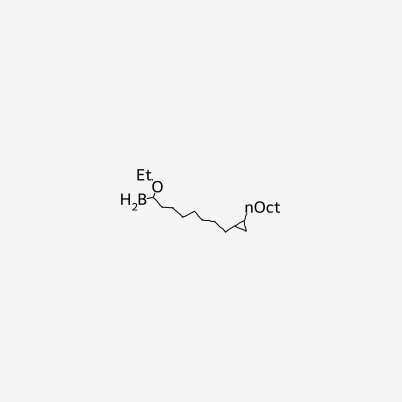 BC(CCCCCCCC1CC1CCCCCCCC)OCC